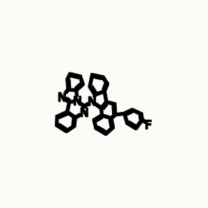 Fc1ccc(-c2cc3c4ccccc4n(-c4nc5ccccc5c5nc6ccccc6n45)c3c3ccccc23)cc1